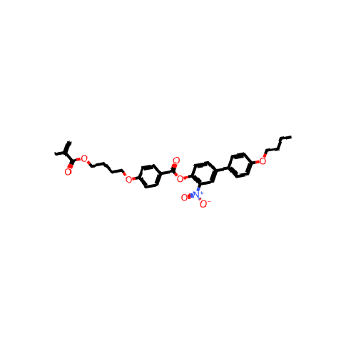 C=C(C)C(=O)OCCCCOc1ccc(C(=O)Oc2ccc(-c3ccc(OCCCC)cc3)cc2[N+](=O)[O-])cc1